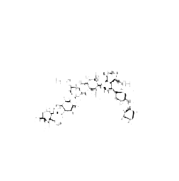 CC1CN(c2cc3c(cc2F)CN(C2CCC(=O)NC2=O)C3)CC(C)N1CC1CCC(n2nc(-c3ccc(Oc4ccccc4)cc3)c3c(N)ncnc32)C(F)C1